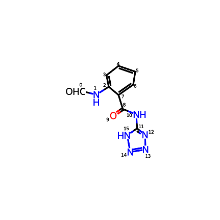 O=CNc1ccccc1C(=O)Nc1nnn[nH]1